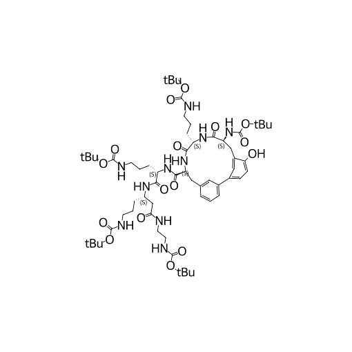 CC(C)(C)OC(=O)NCCC[C@@H](CC(=O)NCCNC(=O)OC(C)(C)C)NC(=O)[C@H](CCCNC(=O)OC(C)(C)C)NC(=O)[C@@H]1Cc2cccc(c2)-c2ccc(O)c(c2)C[C@H](NC(=O)OC(C)(C)C)C(=O)N[C@@H](CCCNC(=O)OC(C)(C)C)C(=O)N1